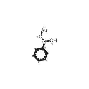 OB([O][Au])c1ccccc1